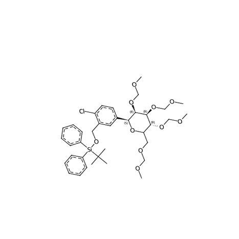 COCOCC1O[C@@H](c2ccc(Cl)c(CO[Si](c3ccccc3)(c3ccccc3)C(C)(C)C)c2)[C@@H](OCOC)[C@@H](OCOC)[C@@H]1OCOC